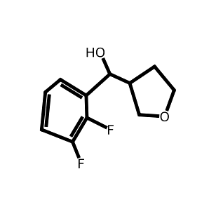 OC(c1cccc(F)c1F)C1CCOC1